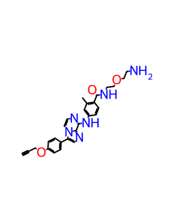 C#CCOc1ccc(-c2cnc3c(Nc4ccc(C(=O)NCCOCCN)c(C)c4)nccn23)cc1